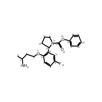 CC(N)CCOc1ccc(F)cc1[C@H]1CCCN1C(=O)Oc1ccccc1